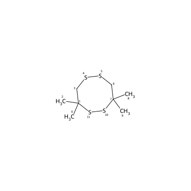 CC1(C)CSSCC(C)(C)SS1